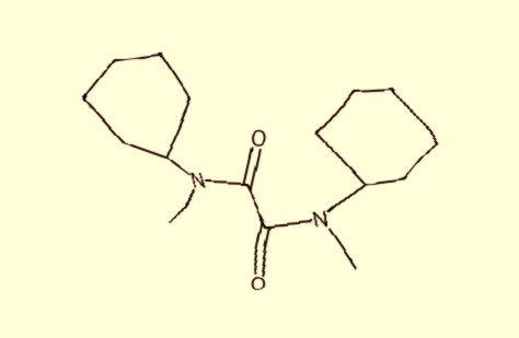 CN(C(=O)C(=O)N(C)C1CCCCC1)C1CCCCC1